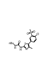 CCCCNC(=O)Nc1nc(C)c(-c2ccc(Cl)c(S(C)(=O)=O)c2)s1